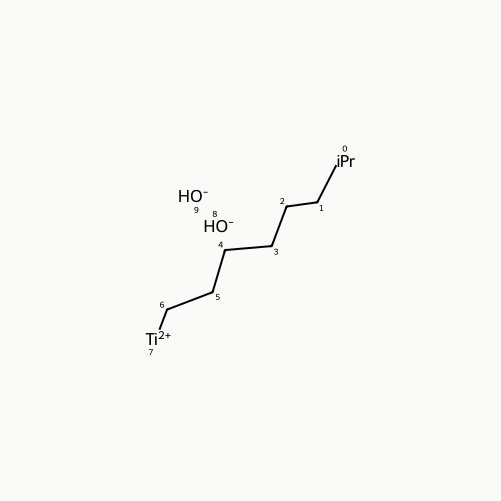 CC(C)CCCCC[CH2][Ti+2].[OH-].[OH-]